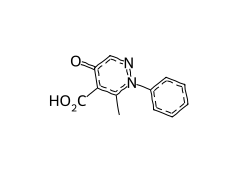 Cc1c(C(=O)O)c(=O)cnn1-c1ccccc1